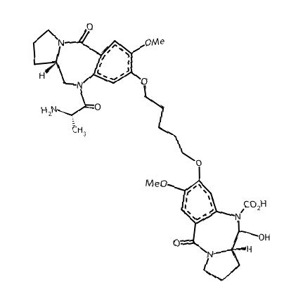 COc1cc2c(cc1OCCCCCOc1cc3c(cc1OC)C(=O)N1CCC[C@H]1C(O)N3C(=O)O)N(C(=O)[C@H](C)N)C[C@@H]1CCCN1C2=O